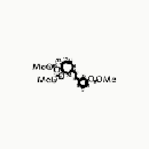 COCOc1cccc(CCC2C/C=C\C(=O)C(OCOC)C(OCOC)C2)c1